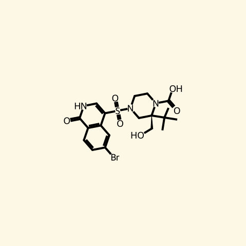 CC(C)(C)[C@]1(CO)CN(S(=O)(=O)c2c[nH]c(=O)c3ccc(Br)cc23)CCN1C(=O)O